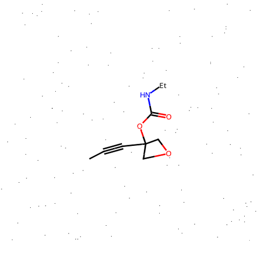 CC#CC1(OC(=O)NCC)COC1